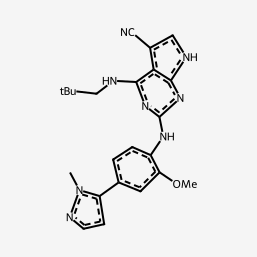 COc1cc(-c2ccnn2C)ccc1Nc1nc(NCC(C)(C)C)c2c(C#N)c[nH]c2n1